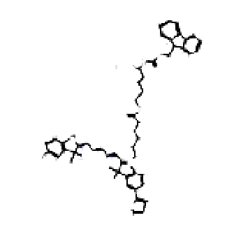 CCN1/C(=C/C=C/C=C/C2=[N+](CCCCCC(=O)NCCCCC(NC(=O)OCC3c4ccccc4-c4ccccc43)C(=O)O)c3ccc(-c4cccs4)cc3C2(C)C)C(C)(C)c2cc([N+](=O)[O-])ccc21